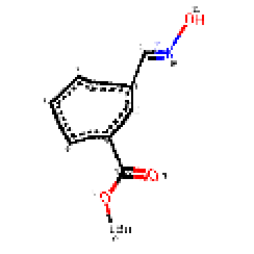 CC(C)(C)OC(=O)c1cccc(/C=N/O)c1